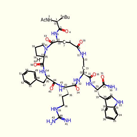 CCCC[C@H](NC(C)=O)C(=O)N[C@H]1CCC(=O)NCC[C@@H](C(=O)N[C@@H](Cc2c[nH]c3ccccc23)C(N)=O)NC(=O)[C@H](CCCNC(=N)N)NC(=O)[C@@H](Cc2ccccc2)NC(=O)[C@H]2CCCN2C1=O